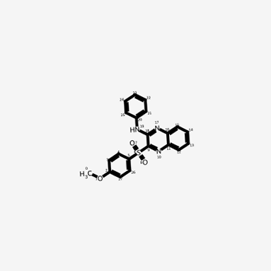 COc1ccc(S(=O)(=O)c2nc3ccccc3nc2Nc2ccccc2)cc1